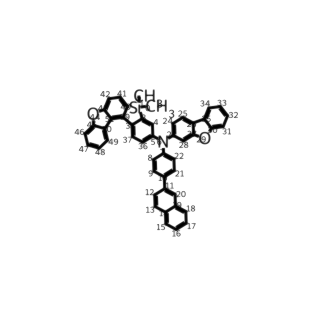 C[Si]1(C)c2cc(N(c3ccc(-c4ccc5ccccc5c4)cc3)c3ccc4c(c3)oc3ccccc34)ccc2-c2c1ccc1oc3ccccc3c21